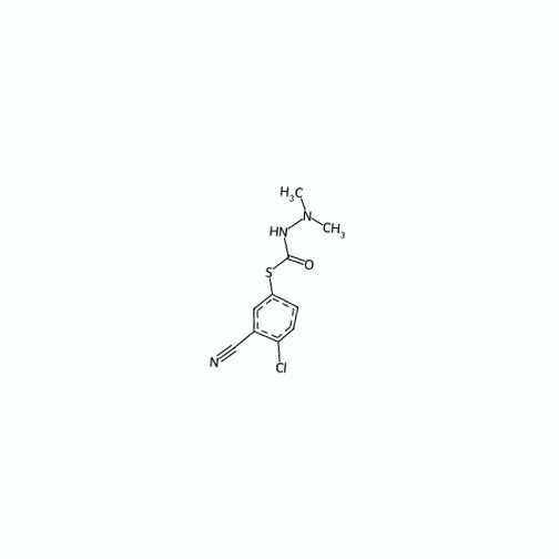 CN(C)NC(=O)Sc1ccc(Cl)c(C#N)c1